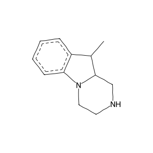 CC1c2ccccc2N2CCNCC12